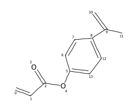 C=CC(=O)Oc1ccc(C(=C)C)cc1